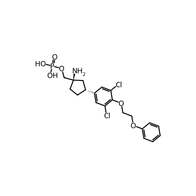 N[C@]1(COP(=O)(O)O)CC[C@@H](c2cc(Cl)c(OCCOc3ccccc3)c(Cl)c2)C1